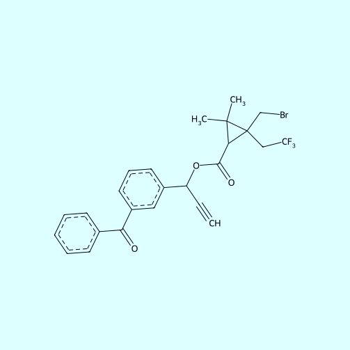 C#CC(OC(=O)C1C(C)(C)C1(CBr)CC(F)(F)F)c1cccc(C(=O)c2ccccc2)c1